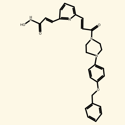 O=C(C=Cc1cccc(C=CC(=O)N2CCN(c3ccc(OCc4ccccc4)cc3)CC2)n1)NO